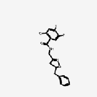 O=C(NCC1=NOC(Cc2ccccc2)C1)c1cc(F)c(F)cc1Cl